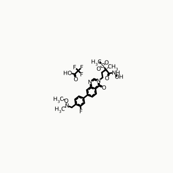 CON(C)Cc1ccc(-c2ccc3c(=O)n(CC[C@](C)(C(=O)NO)S(C)(=O)=O)cnc3c2)cc1F.O=C(O)C(F)(F)F